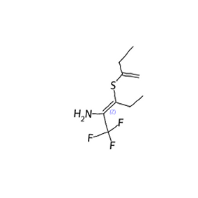 C=C(CC)S/C(CC)=C(\N)C(F)(F)F